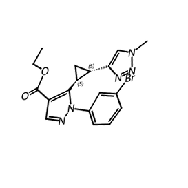 CCOC(=O)c1cnn(-c2cccc(Br)c2)c1[C@H]1C[C@@H]1c1cn(C)nn1